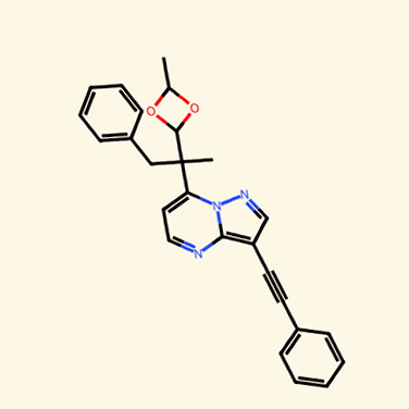 CC1OC(C(C)(Cc2ccccc2)c2ccnc3c(C#Cc4ccccc4)cnn23)O1